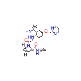 CC[C@@H](C)NC(=O)[C@@H]1C[C@H]2C[C@H]2N1C(=O)CNc1ccc(OCc2ncccn2)cc1C(=N)C(C)=O